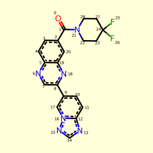 O=C(c1ccc2ncc(-c3ccc4ncnn4c3)nc2c1)N1CCC(F)(F)CC1